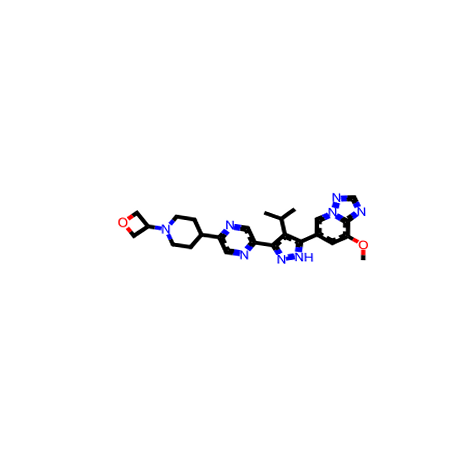 COc1cc(-c2[nH]nc(-c3cnc(C4CCN(C5COC5)CC4)cn3)c2C(C)C)cn2ncnc12